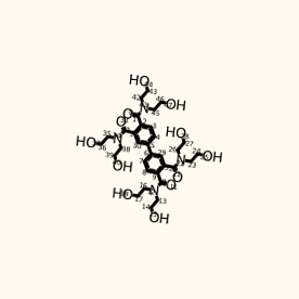 O=C(c1ccc(-c2ccc(C(=O)N(CCO)CCO)c(C(=O)N(CCO)CCO)c2)cc1C(=O)N(CCO)CCO)N(CCO)CCO